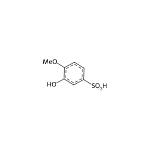 COc1ccc(S(=O)(=O)O)cc1O